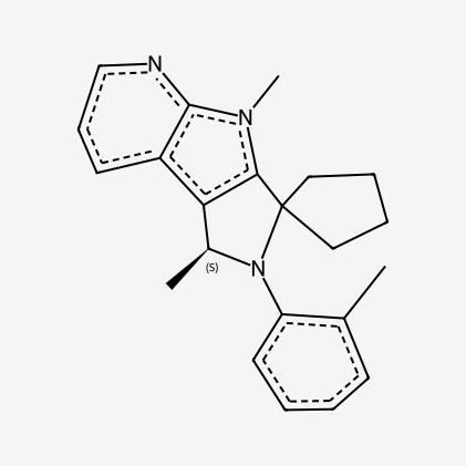 Cc1ccccc1N1[C@@H](C)c2c(n(C)c3ncccc23)C12CCCC2